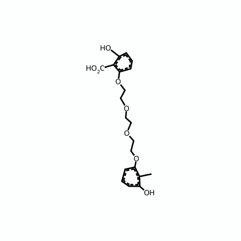 Cc1c(O)cccc1OCCOCCOCCOc1cccc(O)c1C(=O)O